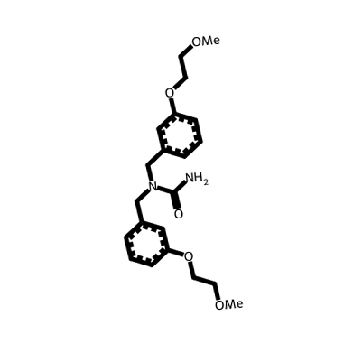 COCCOc1cccc(CN(Cc2cccc(OCCOC)c2)C(N)=O)c1